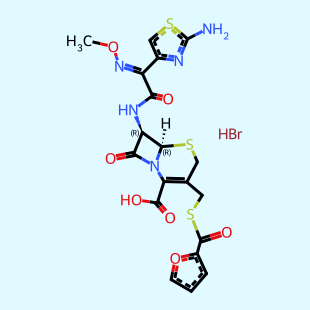 Br.CON=C(C(=O)N[C@@H]1C(=O)N2C(C(=O)O)=C(CSC(=O)c3ccco3)CS[C@H]12)c1csc(N)n1